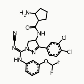 N#C/N=C(/Nc1cccc(OC(F)F)c1)N1CC(NC(=O)C2CCCC2N)C(c2ccc(Cl)c(Cl)c2)=N1